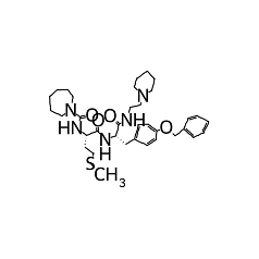 CSCC[C@H](NC(=O)N1CCCCCC1)C(=O)N[C@@H](Cc1ccc(OCc2ccccc2)cc1)C(=O)NCCN1CCCCC1